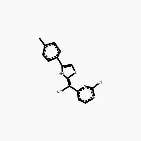 Cc1ccc(C2=CSC(=C(C#N)c3ccnc(Cl)n3)N2)cc1